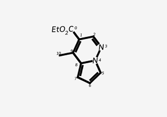 CCOC(=O)c1cnn2cccc2c1C